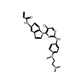 C=CC(=O)Nc1ccc2c(ccn2-c2nc(Nc3ccc(N(C)CCN(C)C)cc3)ncc2Cl)c1